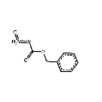 O=[SH2]=NC(=O)OCc1ccccc1